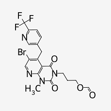 Cn1c(=O)n(CCCOC=O)c(=O)c2c(Cc3ccc(C(F)(F)F)nc3)c(Br)cnc21